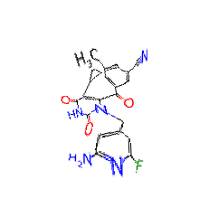 Cc1cc(C#N)cc(C(=O)c2c(C3CC3)c(=O)[nH]c(=O)n2Cc2cc(N)nc(F)c2)c1